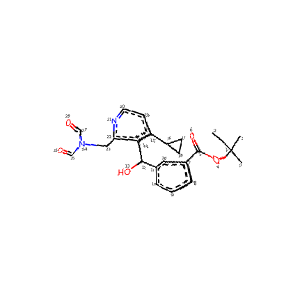 CC(C)(C)OC(=O)c1cccc(C(O)c2c(C3CC3)ccnc2CN(C=O)C=O)c1